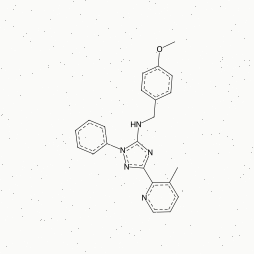 COc1ccc(CNc2nc(-c3ncccc3C)nn2-c2ccccc2)cc1